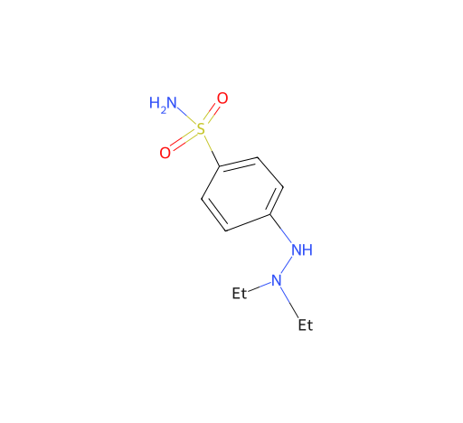 CCN(CC)Nc1ccc(S(N)(=O)=O)cc1